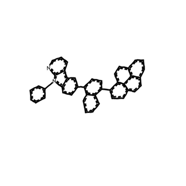 c1ccc(-n2c3ccc(-c4ccc(-c5ccc6ccc7cccc8ccc5c6c78)c5ccccc45)cc3c3cccnc32)cc1